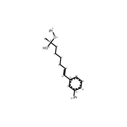 CC(C)O[C@@](C)(O)CCCC/C=C/c1cccc(C(C)C)c1